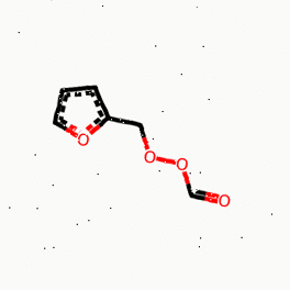 O=COOCc1ccco1